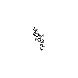 CCOC(=O)c1cnn2ccc(N[C@H](C)c3cc(F)cc4c3O[C@](C)(CNC(=O)OC(C)(C)C)C4)nc12